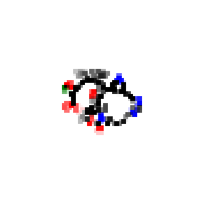 CC[C@H]1OC(=O)[C@@](C)(F)C(=O)[C@H](C)[C@@H](C(C)(C)C)[C@](C)(OC)C[C@@H]2C(=O)[C@H](C)[C@H]3N(CCCCn4cnc(c4)-c4cncc2c4)C(=O)O[C@]13C